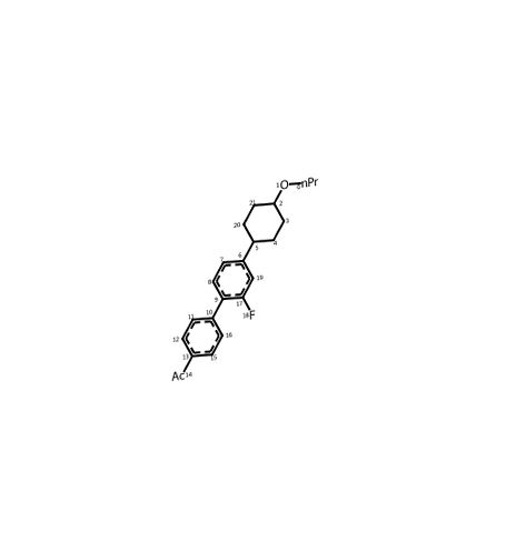 CCCOC1CCC(c2ccc(-c3ccc(C(C)=O)cc3)c(F)c2)CC1